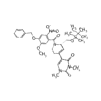 COc1cc(C(=O)N2CCC(c3cn(C)c(=O)n(C)c3=O)=C[C@H]2CO[Si](C)(C)C(C)(C)C)c([N+](=O)[O-])cc1OCc1ccccc1